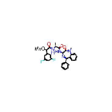 COC(C(=O)N[C@@H](C)C(=O)NC1N=C(c2ccccc2)c2ccccc2N(C)C1=O)c1cc(F)cc(F)c1